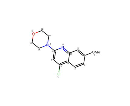 COc1ccc2c(Cl)cc(N3CCOCC3)nc2c1